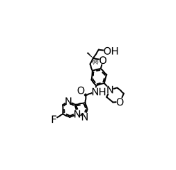 C[C@]1(CO)Cc2cc(NC(=O)c3cnn4cc(F)cnc34)c(N3CCOCC3)cc2O1